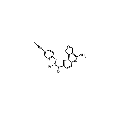 CC#Cc1ccc(CN(C(=O)c2ccc3nc(N)c4c(c3c2)COC4)C(C)C)nc1